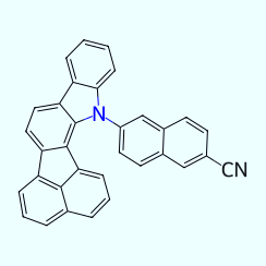 N#Cc1ccc2cc(-n3c4ccccc4c4ccc5c(c43)-c3cccc4cccc-5c34)ccc2c1